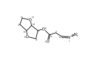 [N-]=[N+]=NCC(=O)OC1COC2CCOC21